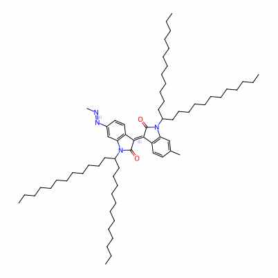 CCCCCCCCCCCCC(CCCCCCCCCCCC)N1C(=O)/C(=C2/C(=O)N(C(CCCCCCCCCCCC)CCCCCCCCCCCC)c3cc(/N=N/C)ccc32)c2ccc(C)cc21